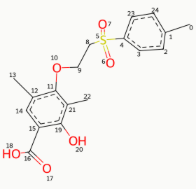 Cc1ccc(S(=O)(=O)CCOc2c(C)cc(C(=O)O)c(O)c2C)cc1